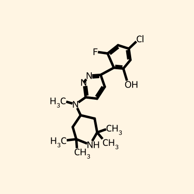 CN(c1ccc(-c2c(O)cc(Cl)cc2F)nn1)C1CC(C)(C)NC(C)(C)C1